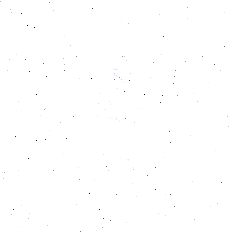 O=C(Nc1ccc(CC(=O)N2CCOCC2)cc1N1CCCCC1)c1cccc(-c2cn[nH]c2)n1